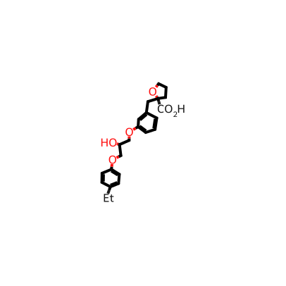 CCc1ccc(OCC(O)COc2cccc(CC3(C(=O)O)CCCO3)c2)cc1